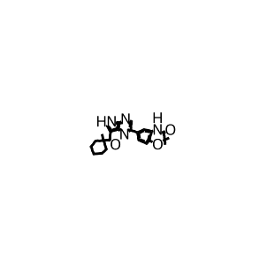 CC1(C(=O)c2c[nH]c3ncc(-c4ccc5c(c4)NC(=O)C(C)(C)O5)nc23)CCCCC1